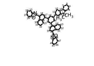 CC1(C)c2ccccc2-c2ccc(-c3cc(-c4ccc(-c5nc6ccccc6o5)c5ccccc45)cc(-c4ccc(-c5nc6ccccc6o5)c5ccccc45)c3)cc21